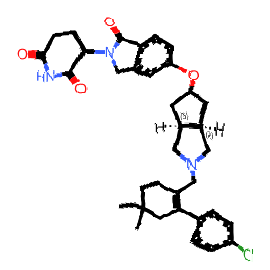 CC1(C)CCC(CN2C[C@H]3CC(Oc4ccc5c(c4)CN(C4CCC(=O)NC4=O)C5=O)C[C@H]3C2)=C(c2ccc(Cl)cc2)C1